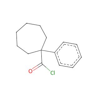 O=C(Cl)C1(c2ccccc2)CCCCCC1